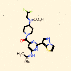 C[C@H](Nc1cc(C(=O)N2CCC(N(CC(F)F)C(=O)O)CC2)nc(-c2cnn3ccsc23)n1)C(C)(C)C